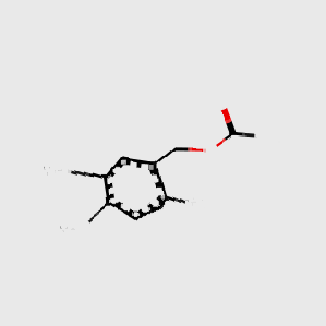 COc1cc(COC(=O)C(Cl)(Cl)Cl)c([N+](=O)[O-])cc1OC